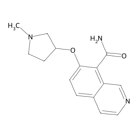 CN1CCC(Oc2ccc3ccncc3c2C(N)=O)C1